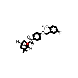 CC1(C)C[C@@H]2CN(S(=O)(=O)c3ccc(OCc4cc(F)ccc4C(F)(F)F)cc3)[C@H]1C(=O)O2